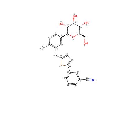 Cc1ccc([C@@H]2O[C@H](CO)[C@@H](O)[C@H](O)[C@H]2O)cc1Cc1ccc(-c2cccc(C#N)c2)s1